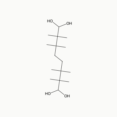 CC(C)(CCC(C)(C)C(C)(C)C(O)O)C(C)(C)C(O)O